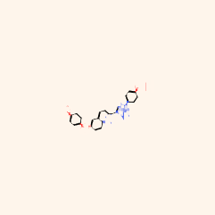 COc1ccc(Oc2ccc3nc(-c4cn(-c5ccc(O)cc5)nn4)ccc3c2)cc1